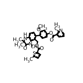 COc1cc(OC(=O)c2cccnc2C)ccc1-c1ccc2c(c1COC(=O)c1ccc(C)s1)N(C)C(=O)C(C)(C)N2